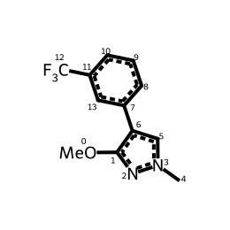 COc1nn(C)cc1-c1cccc(C(F)(F)F)c1